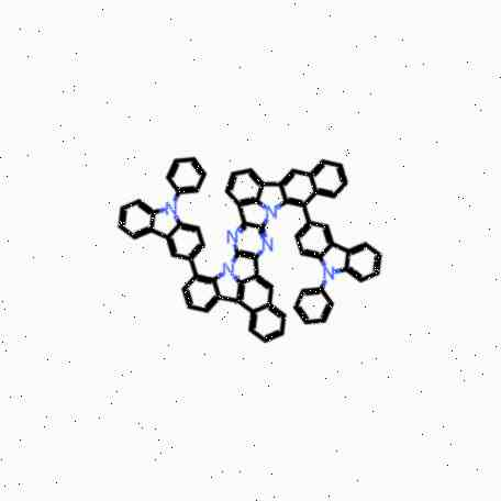 c1ccc(-n2c3ccccc3c3cc(-c4c5ccccc5cc5c6cccc7c8nc9c(nc8n(c45)c67)c4cc5ccccc5c5c6cccc(-c7ccc8c(c7)c7ccccc7n8-c7ccccc7)c6n9c45)ccc32)cc1